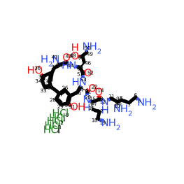 Cl.Cl.Cl.Cl.Cl.NCCC[C@H](N)CNC(=O)[C@H](CCCN)NC(=O)[C@@H]1Cc2cc(ccc2O)-c2ccc(O)c(c2)C[C@H](N)C(=O)N[C@@H](C[C@@H](O)CN)C(=O)N1